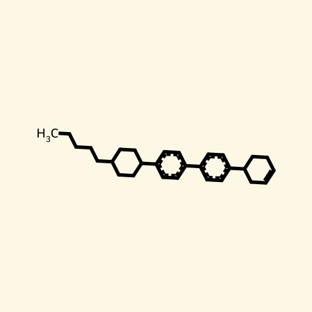 CCCCCC1CCC(c2ccc(-c3ccc(C4CC=CCC4)cc3)cc2)CC1